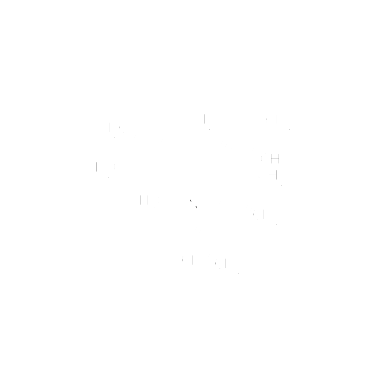 C=C\C=C/C(=C\C=C)C(/C=C)=C/C(C(/C=C\C=C)=C/C=C)=C(/C)N(C(/C=C\C)=C/C=C)C(/C=C\C=C)=C/C=C